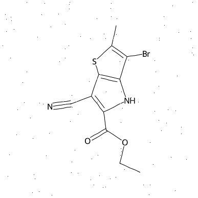 CCOC(=O)c1[nH]c2c(Br)c(C)sc2c1C#N